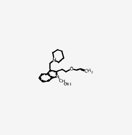 C=CCOCCc1c(CN2CCCCC2)c2ccccc2n1C.Cl